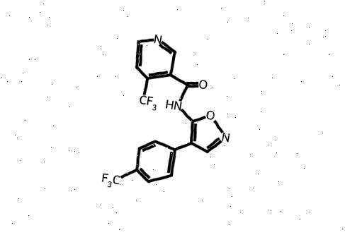 O=C(Nc1oncc1-c1ccc(C(F)(F)F)cc1)c1cnccc1C(F)(F)F